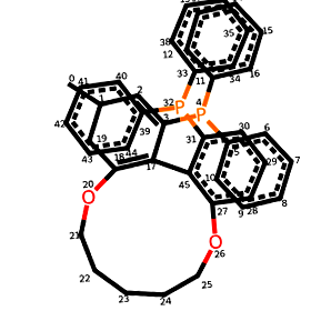 CC1C=C(P(c2ccccc2)c2ccccc2)C2=C(C1)OCCCCCOc1cccc(P(c3ccccc3)c3ccccc3)c12